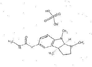 CNC(=O)Oc1ccc2c(c1)[C@]1(C)CCN(C)[C@@H]1N2C.O=S(=O)(O)O